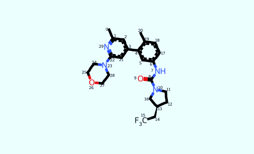 Cc1cc(-c2cc(NC(=O)N3CC[C@@H](CC(F)(F)F)C3)ccc2C)cc(N2CCOCC2)n1